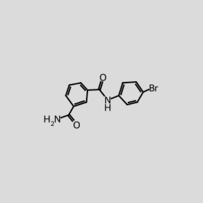 NC(=O)c1cccc(C(=O)Nc2ccc(Br)cc2)c1